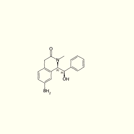 Bc1ccc2c(c1)[C@H]([C@H](O)c1ccccc1)N(C)C(=O)C2